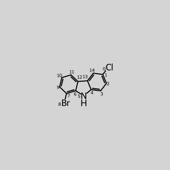 Clc1ccc2[nH]c3c(Br)cccc3c2c1